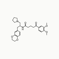 COc1ccc(C(=O)CCCC(=O)NC(Cc2ccc3c(c2)OCCO3)CN2CCCC2)cc1OC